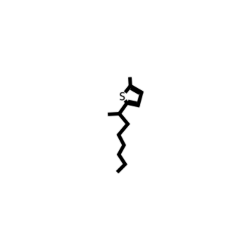 CCCCCCC(C)c1ccc(C)s1